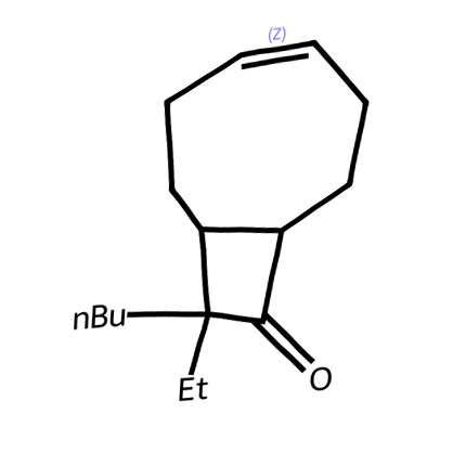 CCCCC1(CC)C(=O)C2CC/C=C\CCC21